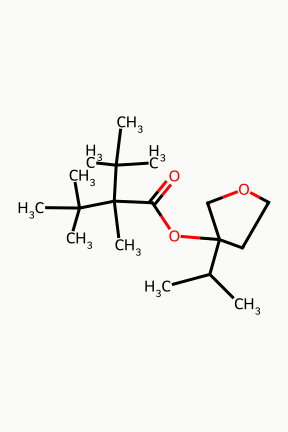 CC(C)C1(OC(=O)C(C)(C(C)(C)C)C(C)(C)C)CCOC1